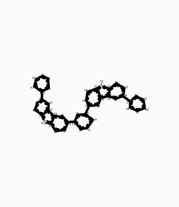 c1ccc(-c2ccc3sc4ccc(-c5cccc(-c6ccc7sc8ccc(-c9ccccc9)cc8c7c6)c5)cc4c3c2)cc1